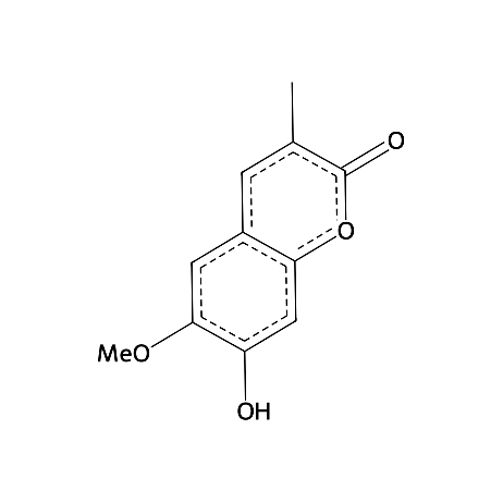 COc1cc2cc(C)c(=O)oc2cc1O